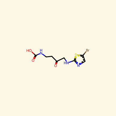 O=C(CCNC(=O)O)CNc1ncc(Br)s1